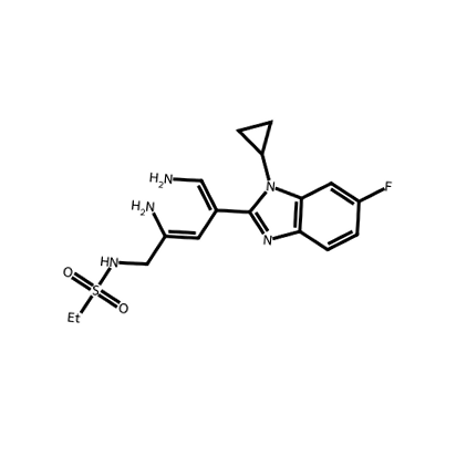 CCS(=O)(=O)NC/C(N)=C/C(=C\N)c1nc2ccc(F)cc2n1C1CC1